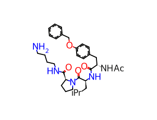 CC(=O)N[C@@H](Cc1ccc(OCc2ccccc2)cc1)C(=O)N[C@@H](CC(C)C)C(=O)N1CCC[C@H]1C(=O)NCCCCN